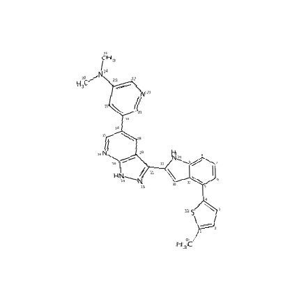 Cc1ccc(-c2cccc3[nH]c(-c4n[nH]c5ncc(-c6cncc(N(C)C)c6)cc45)cc23)s1